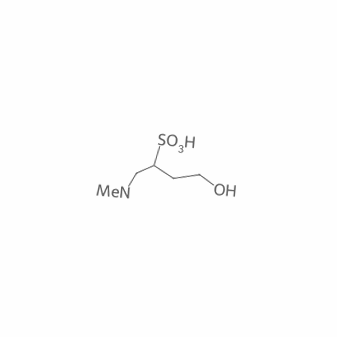 CNCC(CCO)S(=O)(=O)O